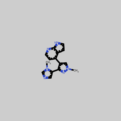 Cn1cc(-c2ccnc3[nH]ccc23)c(-c2cncn2C)n1